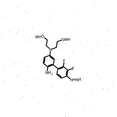 CCCCCCCc1ccc(-c2cc(N(CCOC)CCOC)ccc2N)c(F)c1F